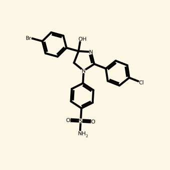 NS(=O)(=O)c1ccc(N2CC(O)(c3ccc(Br)cc3)N=C2c2ccc(Cl)cc2)cc1